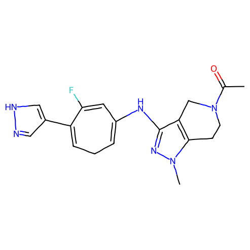 CC(=O)N1CCc2c(c(NC3=CCC=C(c4cn[nH]c4)C(F)=C3)nn2C)C1